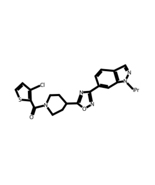 CC(C)n1ncc2ccc(-c3noc(C4CCN(C(=O)c5sccc5Cl)CC4)n3)cc21